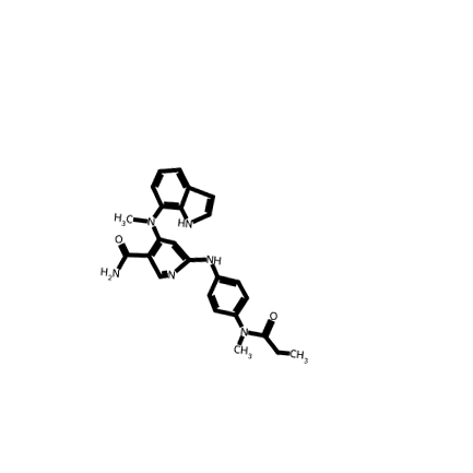 CCC(=O)N(C)c1ccc(Nc2cc(N(C)c3cccc4cc[nH]c34)c(C(N)=O)cn2)cc1